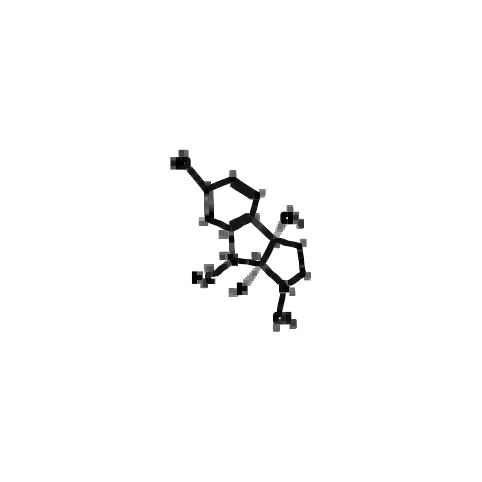 CN1CC[C@]2(C)c3ccc(O)cc3N(C)[C@H]12